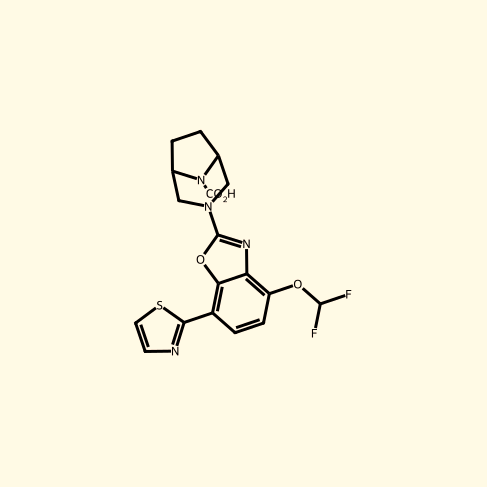 O=C(O)N1C2CCC1CN(c1nc3c(OC(F)F)ccc(-c4nccs4)c3o1)C2